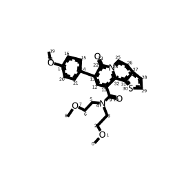 COCCN(CCOC)C(=O)c1cc(-c2ccc(OC)cc2)c(=O)n2ccc3ccsc3c12